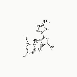 CC(=O)c1cc(-c2nnc(C)o2)c(Nc2ccc(I)cc2F)n1C